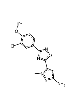 CC(C)Oc1ccc(-c2noc(-c3cc(N)nn3C)n2)cc1Cl